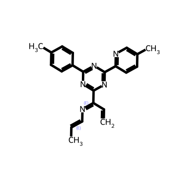 C=C/C(=N\C=C\C)c1nc(-c2ccc(C)cc2)nc(-c2ccc(C)cn2)n1